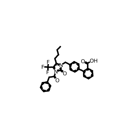 CCCCc1c(C(F)(F)F)n(C(=O)Cc2ccccc2)c(=O)n1Cc1ccc(-c2ccccc2C(=O)O)cc1